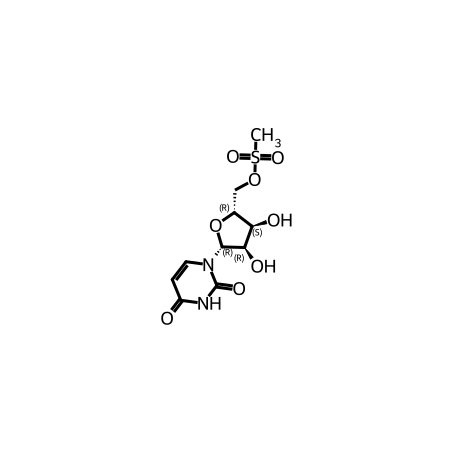 CS(=O)(=O)OC[C@H]1O[C@@H](n2ccc(=O)[nH]c2=O)[C@H](O)[C@@H]1O